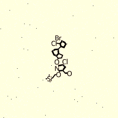 C[Si](C)(C)CCOc1nc(OC2CCc3c(-c4cccc(Br)c4Cl)cccc32)c(Cl)cc1C=O